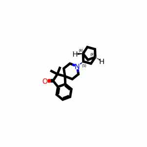 CC1(C)C(=O)c2ccccc2C12CCN([C@H]1C[C@@H]3CC[C@@H]1C3)CC2